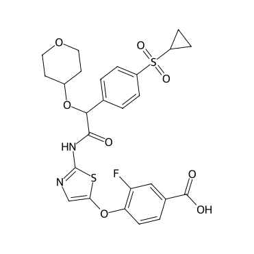 O=C(O)c1ccc(Oc2cnc(NC(=O)C(OC3CCOCC3)c3ccc(S(=O)(=O)C4CC4)cc3)s2)c(F)c1